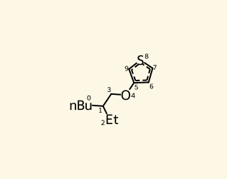 CCCCC(CC)COc1ccsc1